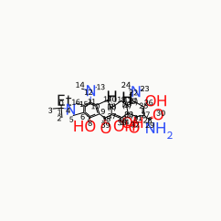 CCC(C)(C)N1Cc2c(O)c3c(c(N(C)C)c2C1)C[C@H]1C[C@H]2[C@H](N(C)C)C(O)=C(C(N)=O)C(=O)[C@@]2(O)C(O)=C1C3=O